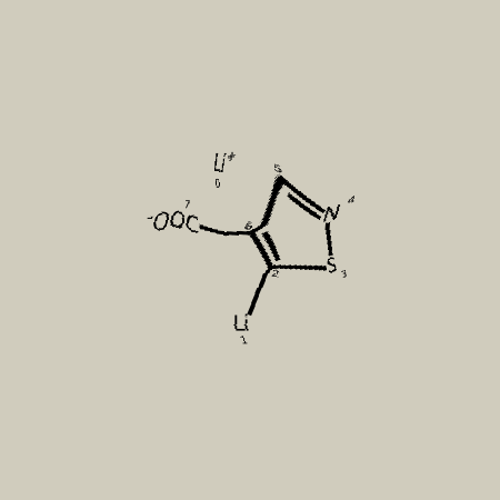 [Li+].[Li][c]1sncc1C(=O)[O-]